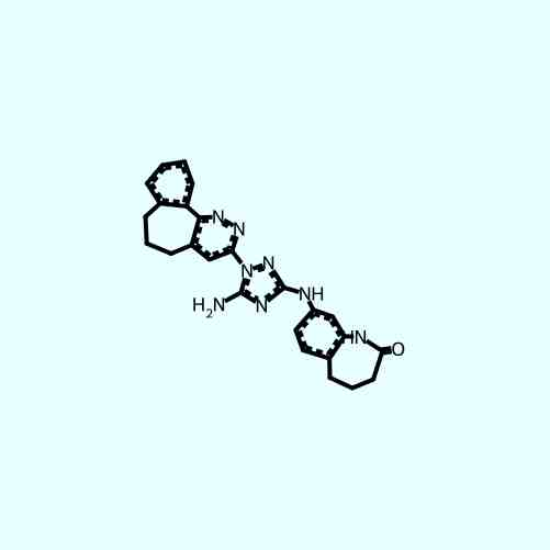 Nc1nc(Nc2ccc3c(c2)NC(=O)CCC3)nn1-c1cc2c(nn1)-c1ccccc1CCC2